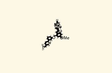 COc1cc(COc2cccc(-c3ccc(CN(C)C)cn3)c2)c2cc(-c3cn4nc(C)sc4n3)oc2c1